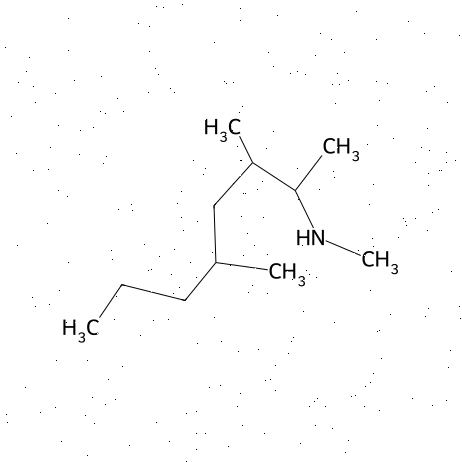 CCCC(C)CC(C)C(C)NC